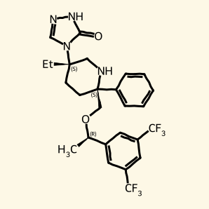 CC[C@]1(n2cn[nH]c2=O)CC[C@@](CO[C@H](C)c2cc(C(F)(F)F)cc(C(F)(F)F)c2)(c2ccccc2)NC1